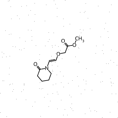 COC(=O)COC=CN1CCCCC1=O